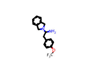 NC(Cc1ccc(OC(F)(F)F)cc1)N1Cc2ccccc2C1